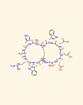 C[C@@H]1NC(=O)C2NC(=O)[C@H](Cc3c[nH]c4ccccc34)NC(=O)[C@H](CCC(=O)O)NC(=O)[C@H](CCC(=O)O)NC(=O)[C@H](CCC(=O)O)NC(=O)[C@H](C)NC(=O)[C@H](CSS2)NC(=O)[C@H](Cc2c[nH]c3ccccc23)NC(=O)[C@H](CCCNC(=N)N)NC(=O)[C@@H](C)NC(=O)[C@H](Cc2c[nH]cn2)NC1=O